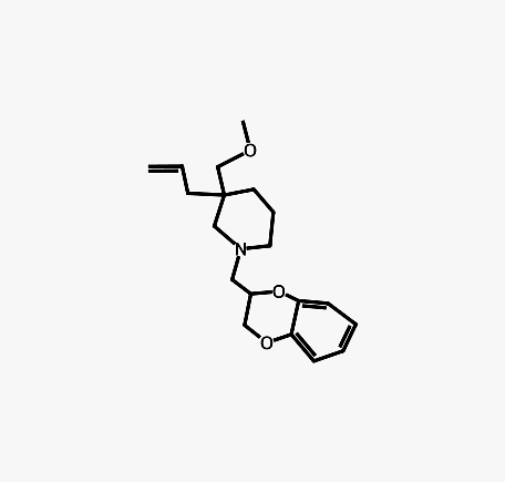 C=CCC1(COC)CCCN(CC2COc3ccccc3O2)C1